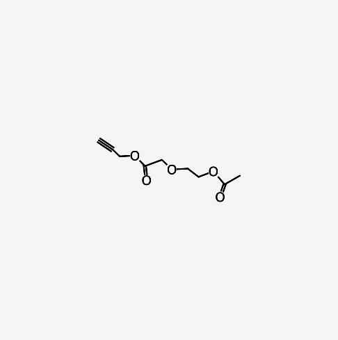 C#CCOC(=O)COCCOC(C)=O